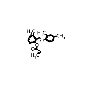 COC(=O)Oc1cccc(C)c1COc1ccc(C)cc1C